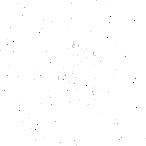 CCO[Si](CCCC(C)([SiH3])CCC[Si](OCC)(OCC)OCC)(OCC)OCC